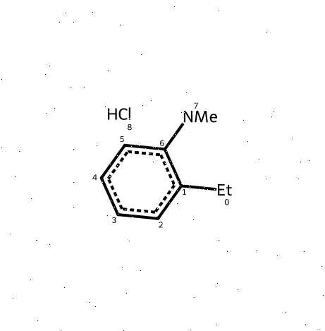 CCc1ccccc1NC.Cl